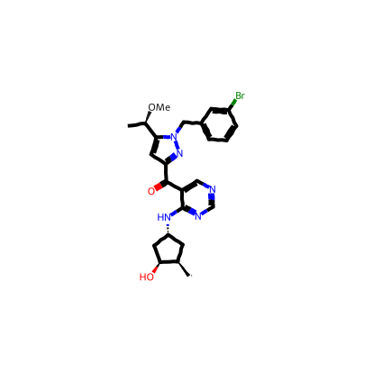 [CH2][C@@H]1C[C@@H](Nc2ncncc2C(=O)c2cc([C@@H](C)OC)n(Cc3cccc(Br)c3)n2)C[C@@H]1O